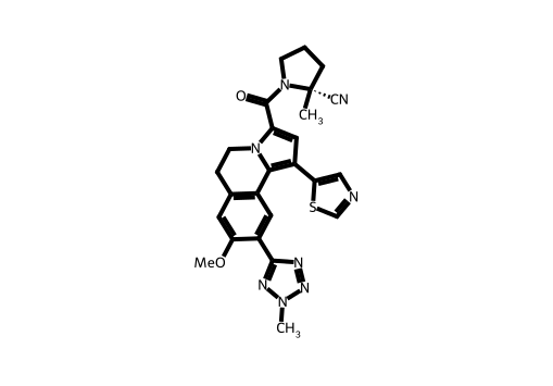 COc1cc2c(cc1-c1nnn(C)n1)-c1c(-c3cncs3)cc(C(=O)N3CCC[C@]3(C)C#N)n1CC2